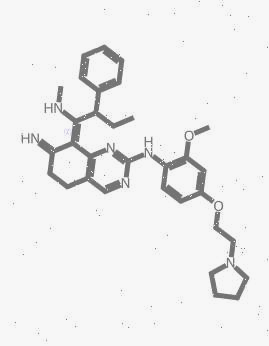 CCC(/C(NC)=C1/C(=N)CCc2cnc(Nc3ccc(OCCN4CCCC4)cc3OC)nc21)c1ccccc1